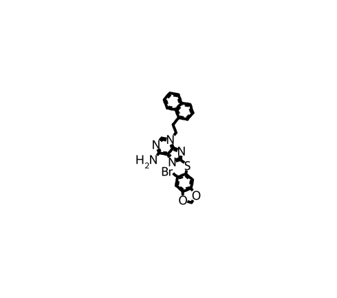 Nc1ncn(CCc2cccc3ccccc23)c2nc(Sc3cc4c(cc3Br)OCO4)nc1-2